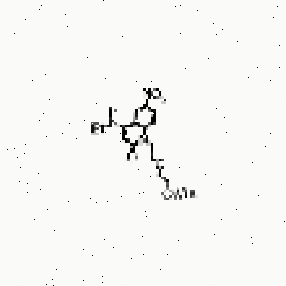 CCNc1cc(=O)n(CCOCCOC)c2ccc([N+](=O)[O-])cc12